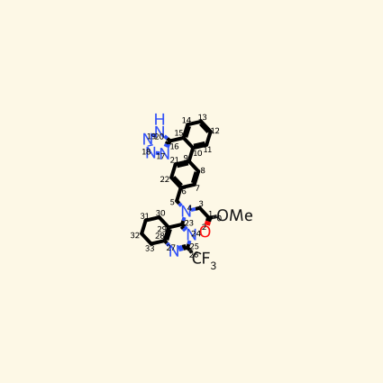 COC(=O)CN(Cc1ccc(-c2ccccc2-c2nnn[nH]2)cc1)c1nc(C(F)(F)F)nc2c1CCCC2